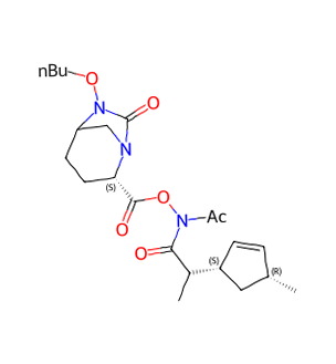 CCCCON1C(=O)N2CC1CC[C@H]2C(=O)ON(C(C)=O)C(=O)C(C)[C@@H]1C=C[C@H](C)C1